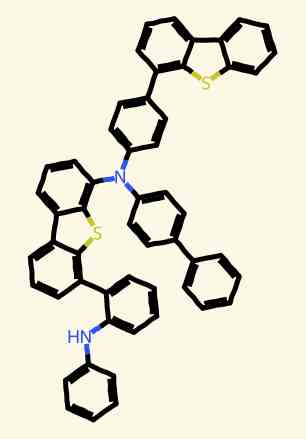 c1ccc(Nc2ccccc2-c2cccc3c2sc2c(N(c4ccc(-c5ccccc5)cc4)c4ccc(-c5cccc6c5sc5ccccc56)cc4)cccc23)cc1